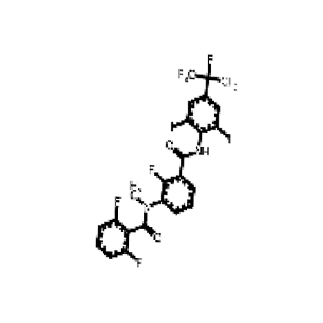 CN(C(=O)c1c(F)cccc1F)c1cccc(C(=O)Nc2c(I)cc(C(F)(C(F)(F)F)C(F)(F)F)cc2I)c1F